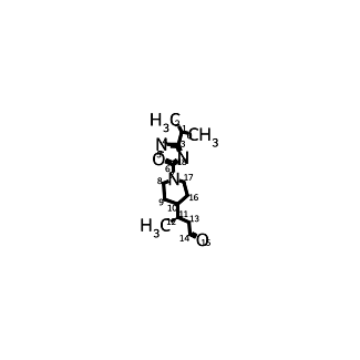 CC(C)c1noc(N2CCC([C@H](C)CC=O)CC2)n1